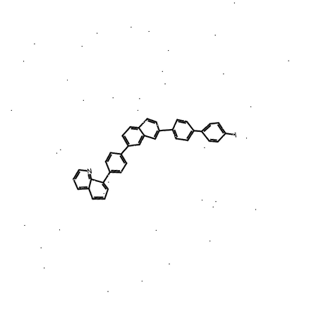 Ic1ccc(-c2ccc(-c3ccc4ccc(-c5ccc(-c6cccc7cccnc67)cc5)cc4c3)cc2)cc1